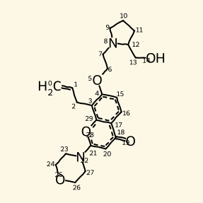 C=CCc1c(OCCN2CCCC2CO)ccc2c(=O)cc(N3CCOCC3)oc12